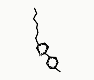 CCCCCCCc1ccc(-c2ccc(C)cc2)nc1